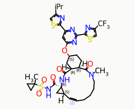 CC(C)c1csc(-c2cc(O[C@H]3CC[C@H]4C(=O)N(C)CCCC/C=C\[C@@H]5C[C@@]5(C(=O)NS(=O)(=O)C5(C)CC5)NC(=O)[C@@H]4C3)nc(-c3nc(C(F)(F)F)cs3)n2)n1